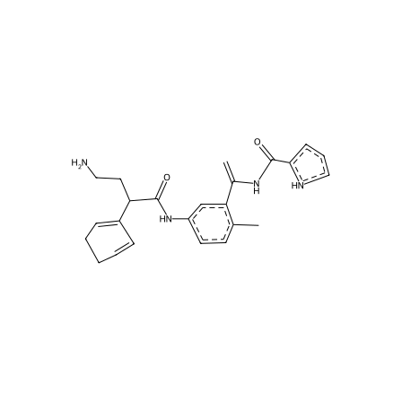 C=C(NC(=O)c1ccc[nH]1)c1cc(NC(=O)C(CCN)C2=CCCC=C2)ccc1C